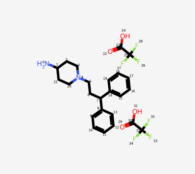 NC1CCN(CCC(c2ccccc2)c2ccccc2)CC1.O=C(O)C(F)(F)F.O=C(O)C(F)(F)F